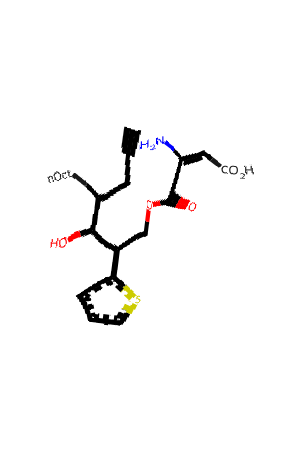 C#CCC(CCCCCCCC)C(O)C(COC(=O)/C(N)=C\C(=O)O)c1cccs1